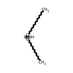 CCCCCCCCCCCCCCCCOP(=O)(O)OCCCCCCCCCCCCCC